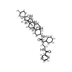 C[C@H]1CC[C@@]2(OC1)O[C@H]1C[C@H]3[C@@H]4CC[C@@H]5C[C@H](NC(=O)N(CCNC(=O)c6cnccn6)C6CCCCC6)CC[C@]5(C)[C@H]4CC[C@]3(C)[C@H]1[C@@H]2C